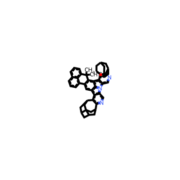 CC1(C)c2cccc3cccc(c23)-c2cc3c4c5c(ncc4n4c6cnc7c(c6c(c21)c34)C1CC2CC(CC7C2)C1)C1CC2CC3CC5CC23C1